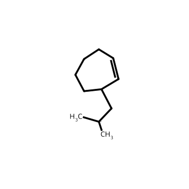 C[C](C)CC1C=CCCCC1